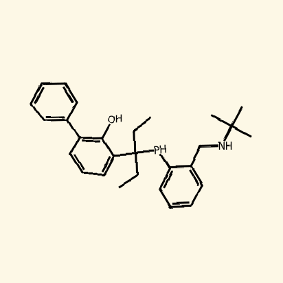 CCC(CC)(Pc1ccccc1CNC(C)(C)C)c1cccc(-c2ccccc2)c1O